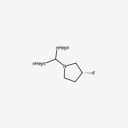 CCCCCCCC(CCCCCCC)N1CC[C@@H](F)C1